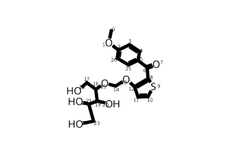 COc1ccc(C(=O)c2sccc2OCOC(CO)C(O)C(O)CO)cc1